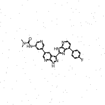 CN(C)C(=O)Nc1cncc(-c2cnc3[nH]nc(-c4nc5c(-c6ccc(F)cc6)ccnc5[nH]4)c3c2)c1